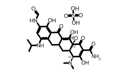 CC(C)Nc1cc(NC=O)c(O)c2c1CC1CC3[C@H](N(C)C)C(O)=C(C(N)=O)C(=O)[C@@]3(O)C(O)=C1C2=O.O=S(=O)(O)O